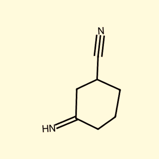 N#CC1CCCC(=N)C1